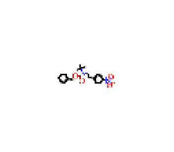 CC(C)(C)N(CCc1ccc([N+](=O)[O-])cc1)C(=O)OCc1ccccc1